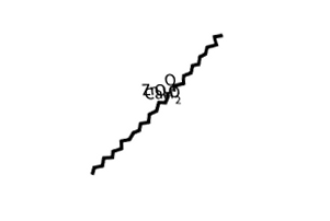 CCCCCCCCCCCCCCCCCC(=O)OC(=O)CCCCCCCCCCC.[CaH2].[Zn]